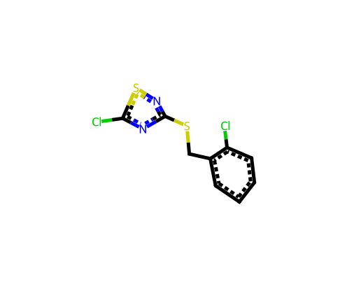 Clc1nc(SCc2ccccc2Cl)ns1